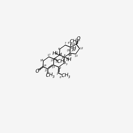 CC=C1C[C@@H]2[C@@H](CC[C@]3(C)C(=O)CC[C@@H]23)[C@@]2(C)CCC(=O)C(C)=C12